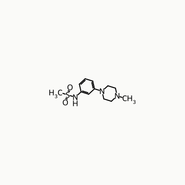 CN1CCN(c2cccc(NS(C)(=O)=O)c2)CC1